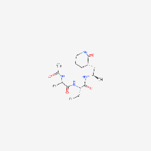 CC(C)C[C@H](NC(=O)C(NC(=O)C(F)(F)F)C(C)C)C(=O)N[C@H](C#N)C[C@@H]1CCCNC1=O